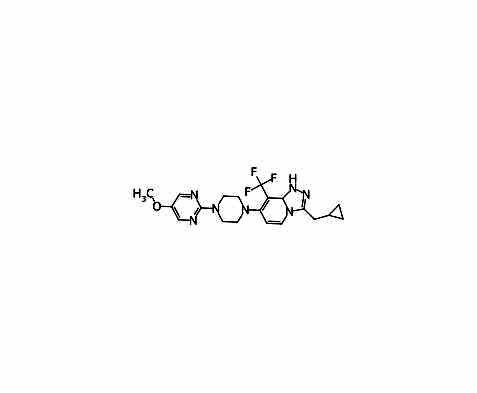 COc1cnc(N2CCN(C3=C(C(F)(F)F)C4NN=C(CC5CC5)N4C=C3)CC2)nc1